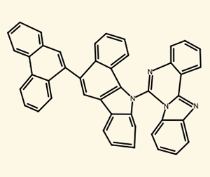 c1ccc2c(c1)cc(-c1cc3c4ccccc4n(-c4nc5ccccc5c5nc6ccccc6n45)c3c3ccccc13)c1ccccc12